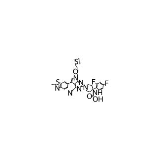 Cc1nc2ccc(-c3cn(COCC[Si](C)(C)C)c4nc(N5CCC(NC(=O)O)(c6ccc(F)cc6F)CC5)nc(C#N)c34)cc2s1